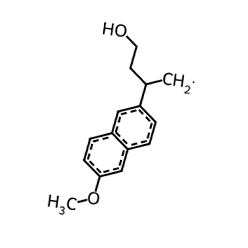 [CH2]C(CCO)c1ccc2cc(OC)ccc2c1